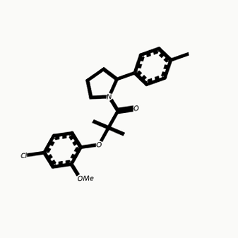 COc1cc(Cl)ccc1OC(C)(C)C(=O)N1CCCC1c1ccc(C)cc1